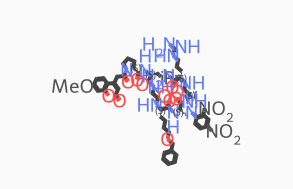 COc1ccc2c(CC(=O)N3CCC[C@H]3C(=O)N[C@@H](CC(C)C)C(=O)NCC(=O)N[C@@H](CCCCOCc3ccccc3)C(=O)N[C@@H](CNc3ccc([N+](=O)[O-])cc3[N+](=O)[O-])C(=O)N[C@@H](C)C(=O)N[C@@H](CCCNC(=N)N)C(N)=O)cc(=O)oc2c1